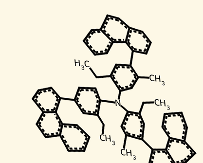 CCc1cc(-c2cccc3ccc4ccccc4c23)ccc1N(c1cc(C)c(-c2cccc3ccc4ccccc4c23)cc1CC)c1cc(C)c(-c2cccc3ccc4ccccc4c23)cc1CC